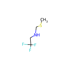 CSCNCC(F)(F)F